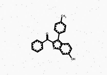 Cc1ccc(-c2c(C(=O)c3ccccc3)sc3cc(O)ccc23)cc1